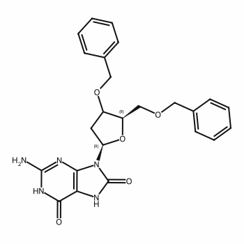 Nc1nc2c([nH]c(=O)n2[C@H]2CC(OCc3ccccc3)[C@@H](COCc3ccccc3)O2)c(=O)[nH]1